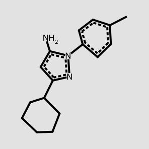 Cc1ccc(-n2nc(C3CCCCC3)cc2N)cc1